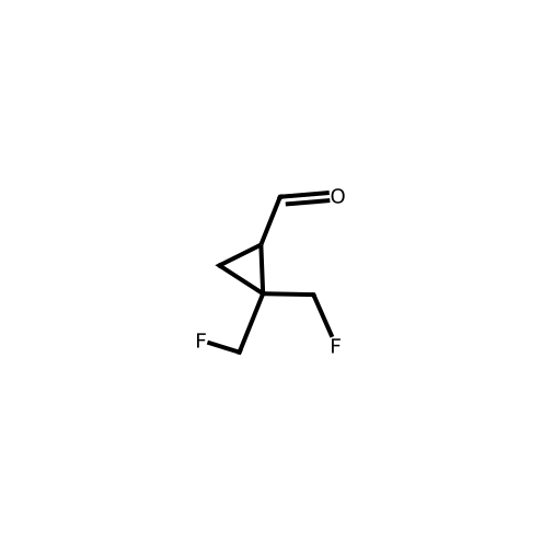 O=CC1CC1(CF)CF